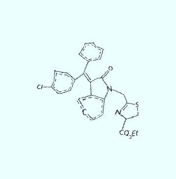 CCOC(=O)C1CSC(CN2C(=O)/C(=C(\c3ccccc3)c3ccc(Cl)cc3)c3ccccc32)=N1